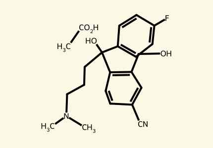 CC(=O)O.CN(C)CCCC(O)(c1ccc(F)cc1)c1ccc(C#N)cc1CO